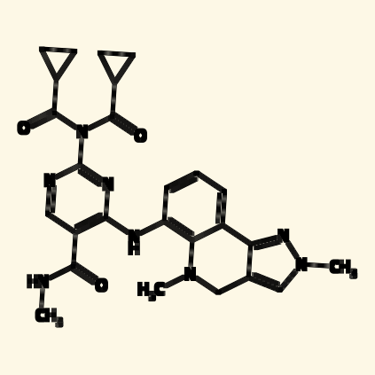 CNC(=O)c1cnc(N(C(=O)C2CC2)C(=O)C2CC2)nc1Nc1cccc2c1N(C)Cc1cn(C)nc1-2